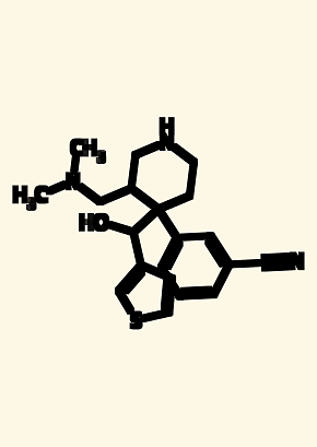 CN(C)CC1CNCCC1(c1cccc(C#N)c1)C(O)c1ccsc1